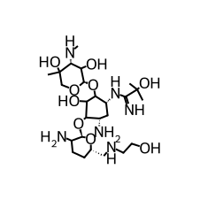 CN[C@@H]1C(O)[C@@H](OC2C(O)C(O[C@H]3O[C@H](CNCCO)CCC3N)[C@@H](N)C[C@H]2NC(=N)C(C)(C)O)OCC1(C)O